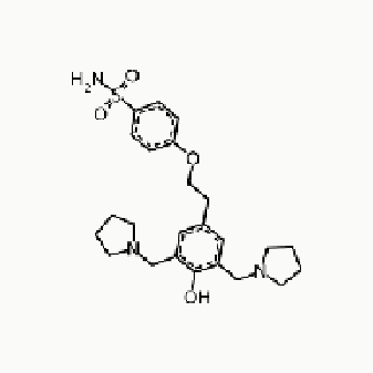 NS(=O)(=O)c1ccc(OCCc2cc(CN3CCCC3)c(O)c(CN3CCCC3)c2)cc1